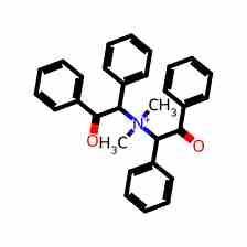 C[N+](C)(C(C(=O)c1ccccc1)c1ccccc1)C(C(=O)c1ccccc1)c1ccccc1